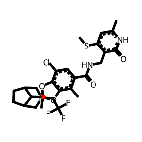 CSc1cc(C)[nH]c(=O)c1CNC(=O)c1cc(Cl)c2c(c1C)OC(C)(C1C3CCC1CN(CC(F)(F)F)C3)O2